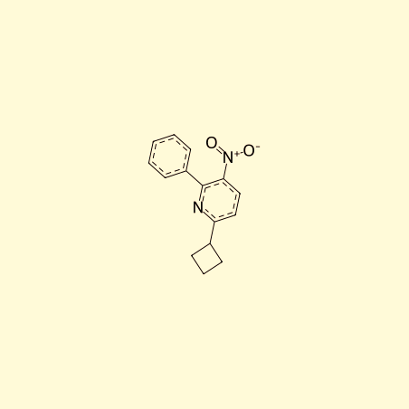 O=[N+]([O-])c1ccc(C2CCC2)nc1-c1ccccc1